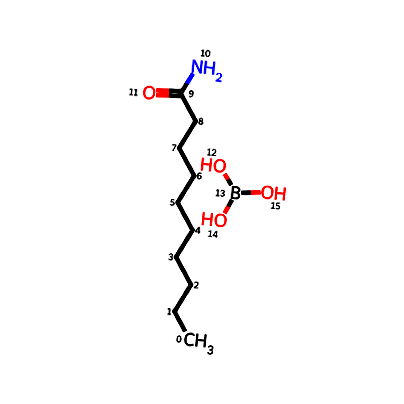 CCCCCCCCCC(N)=O.OB(O)O